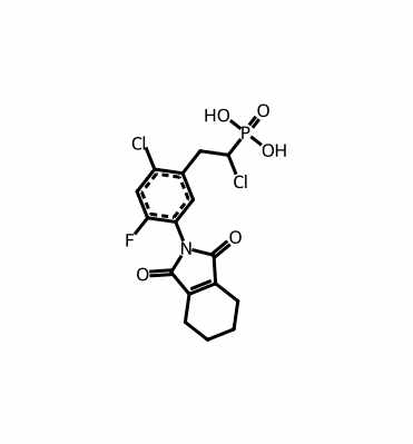 O=C1C2=C(CCCC2)C(=O)N1c1cc(CC(Cl)P(=O)(O)O)c(Cl)cc1F